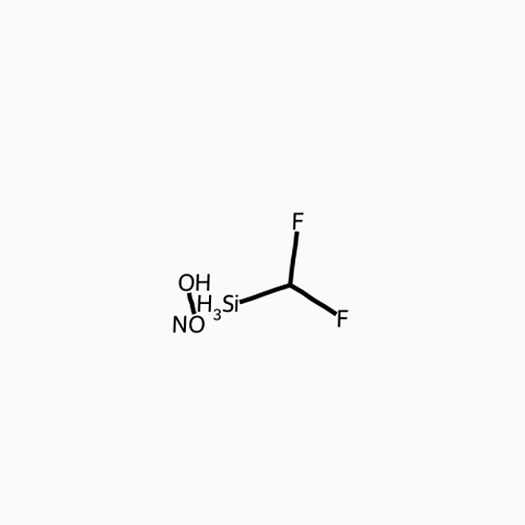 FC(F)[SiH3].O=NO